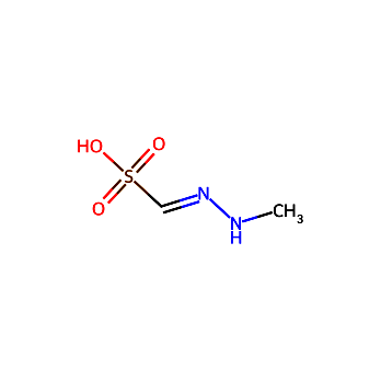 CNN=CS(=O)(=O)O